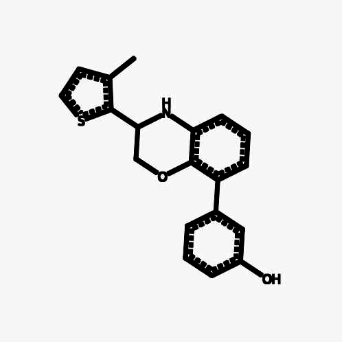 Cc1ccsc1C1COc2c(cccc2-c2cccc(O)c2)N1